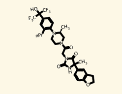 CCCc1cc(C(O)(C(F)(F)F)C(F)(F)F)ccc1N1CCN(C(=O)CN2C(=O)NC(C)(c3ccc4c(c3)CCO4)C2=O)C[C@@H]1C